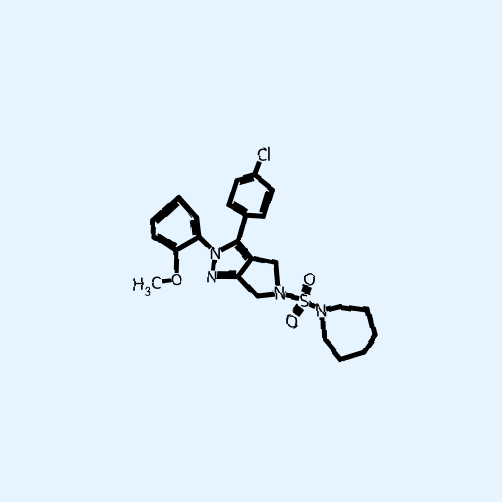 COc1ccccc1-n1nc2c(c1-c1ccc(Cl)cc1)CN(S(=O)(=O)N1CCCCCC1)C2